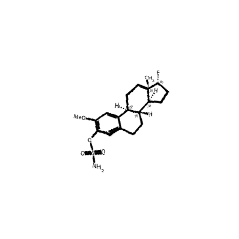 COc1cc2c(cc1OS(N)(=O)=O)CC[C@@H]1[C@@H]2CC[C@]2(C)[C@H](F)CC[C@@H]12